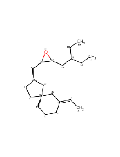 C/C=C1\CCC[C@]2(CC[C@@H](CC3OC3CC(CC)CC)C2)C1